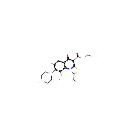 CCOC(=O)c1c2n(c3c(OC)c(N4CCNCC4)c(F)cc3c1=O)C(CF)S2